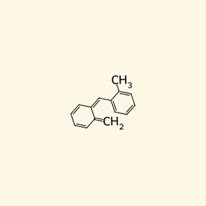 C=c1cccc/c1=C/c1ccccc1C